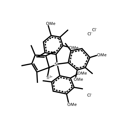 COc1cc(C)c([Si](c2c(C)cc(OC)c(C)c2OC)(c2c(C)cc(OC)c(C)c2OC)[C]2([Ti+3])C(C)=C(C)C(C)=C2C)c(OC)c1C.[Cl-].[Cl-].[Cl-]